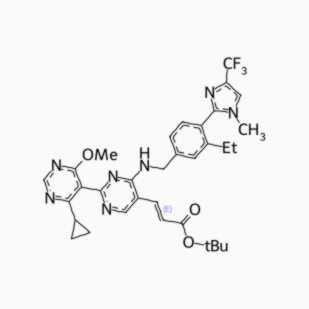 CCc1cc(CNc2nc(-c3c(OC)ncnc3C3CC3)ncc2/C=C/C(=O)OC(C)(C)C)ccc1-c1nc(C(F)(F)F)cn1C